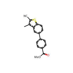 COC(=O)c1ccc(-c2ccc3sc(C#N)c(C)c3c2)cc1